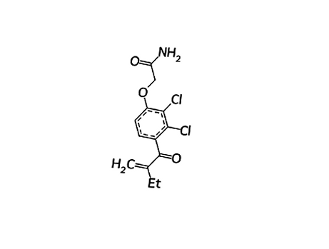 C=C(CC)C(=O)c1ccc(OCC(N)=O)c(Cl)c1Cl